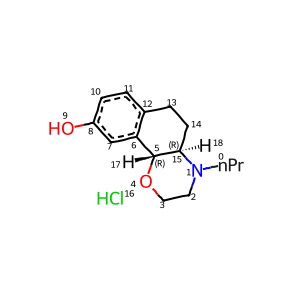 CCCN1CCO[C@@H]2c3cc(O)ccc3CC[C@H]21.Cl